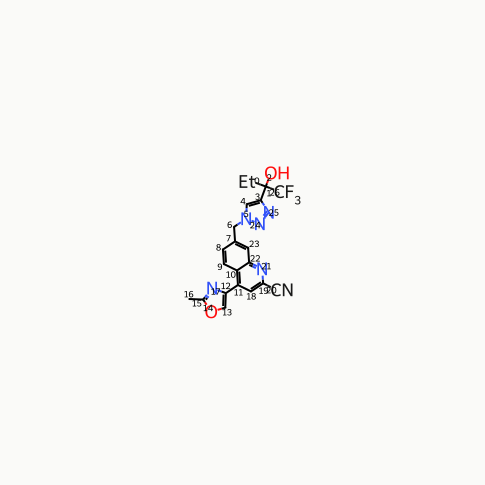 CCC(O)(c1cn(Cc2ccc3c(-c4coc(C)n4)cc(C#N)nc3c2)nn1)C(F)(F)F